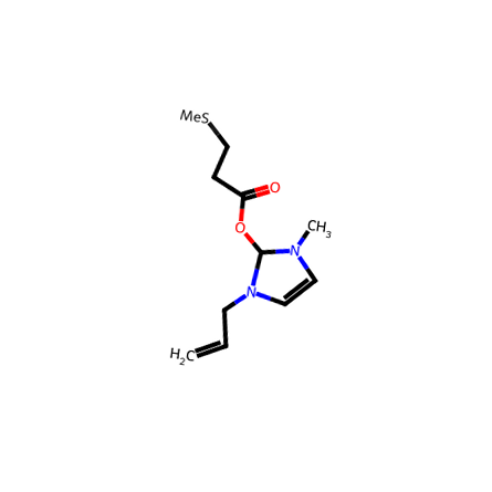 C=CCN1C=CN(C)C1OC(=O)CCSC